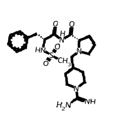 CS(=O)(=O)N[C@H](Cc1ccccc1)C(=O)NC(=O)[C@@H]1CCCN1CC1CCN(C(=N)N)CC1